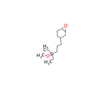 CC[Si](CC)(CCCC1CCC2OC2C1)OC